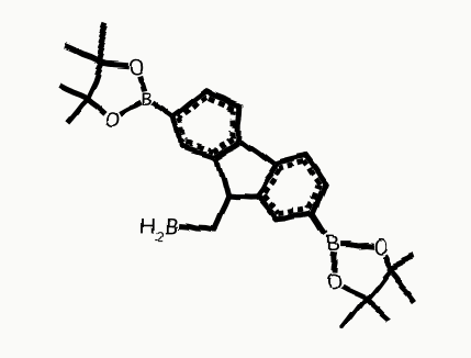 BCC1c2cc(B3OC(C)(C)C(C)(C)O3)ccc2-c2ccc(B3OC(C)(C)C(C)(C)O3)cc21